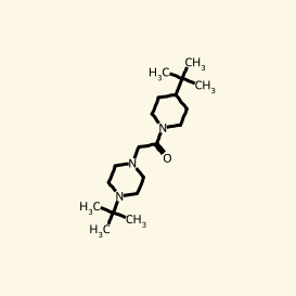 CC(C)(C)C1CCN(C(=O)CN2CCN(C(C)(C)C)CC2)CC1